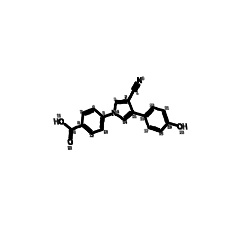 N#Cc1cn(-c2ccc(C(=O)O)cc2)cc1-c1ccc(O)cc1